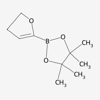 CC1(C)OB(C2=CCCO2)OC1(C)C